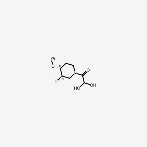 CC(C)O[C@@H]1CCN(C(=O)C(O)O)C[C@H]1F